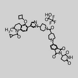 C[C@H]1CCc2c(ccc(-c3cnn(C4CCN(C(=O)C5CCN(c6ccc7c(c6)C(=O)N(C6CCC(=O)NC6=O)C7=O)CC5)CC4)c3)c2OC2CCC2)N1C(=O)C1CC1.O=C(O)C(F)(F)F